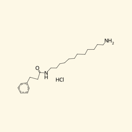 Cl.NCCCCCCCCCCCCNC(=O)CCc1ccccc1